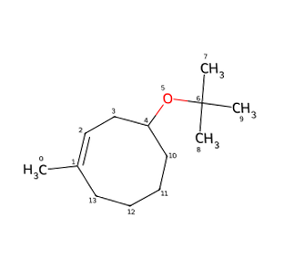 C/C1=C/CC(OC(C)(C)C)CCCC1